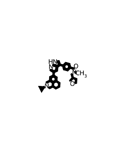 CN(CC1CCOC1)C(=O)c1ccc(-c2c[nH]c3ncc(-c4cc5c6c(c4)CN(C4CC4)CC6CCC5)cc23)cc1